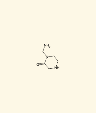 NCN1CCNCC1=O